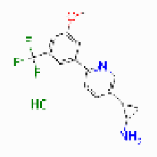 COc1cc(-c2ccc(C3CC3N)cn2)cc(C(F)(F)F)c1.Cl